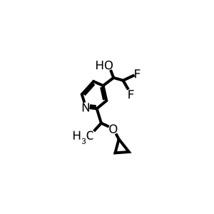 CC(OC1CC1)c1cc(C(O)C(F)F)ccn1